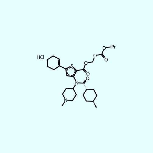 CC(C)OC(=O)OCOC(=O)c1sc(C2=CCCCC2)cc1N(C(=O)[C@H]1CC[C@H](C)CC1)C1CCN(C)CC1.Cl